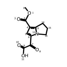 COC(=O)c1cc(C(=O)C(=O)O)n2c1CCC2